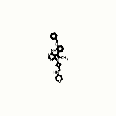 Cc1c(-c2cccc(OCc3ccccc3)c2)c2c(N)ncnc2n1C1CC(CNC2CCOCC2)C1